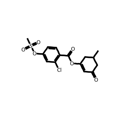 CC1CC(=O)C=C(OC(=O)c2ccc(OS(C)(=O)=O)cc2Cl)C1